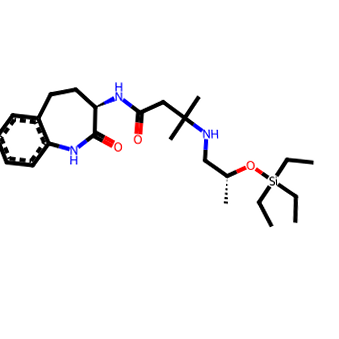 CC[Si](CC)(CC)O[C@H](C)CNC(C)(C)CC(=O)N[C@@H]1CCc2ccccc2NC1=O